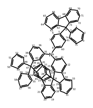 c1ccc(C2(c3ccc(N(c4ccc5c(c4)C4(c6ccccc6-c6ccccc64)c4ccccc4-5)c4cccc5c4-c4ccccc4C5(c4ccccc4)c4ccccc4)cc3)c3ccccc3-c3ccccc32)cc1